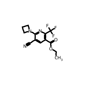 CCOC(=O)c1cc(C#N)c(N2CCC2)nc1C(F)(F)F